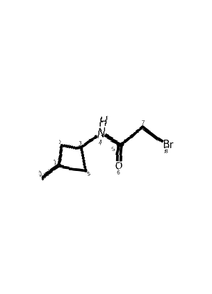 CC1CC(NC(=O)CBr)C1